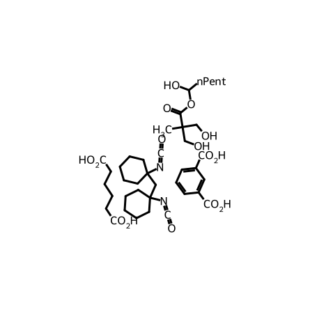 CCCCCC(O)OC(=O)C(C)(CO)CO.O=C(O)CCCCC(=O)O.O=C(O)c1cccc(C(=O)O)c1.O=C=NC1(CC2(N=C=O)CCCCC2)CCCCC1